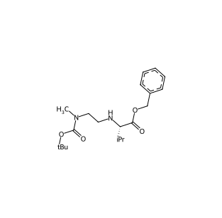 CC(C)[C@H](NCCN(C)C(=O)OC(C)(C)C)C(=O)OCc1ccccc1